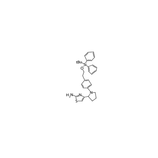 CC(C)(C)[Si](OCCc1ccc(N2CCCC2c2csc(N)n2)cc1)(c1ccccc1)c1ccccc1